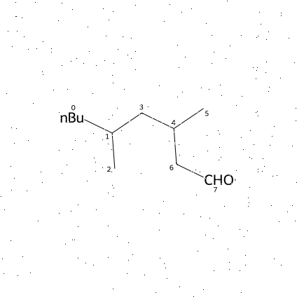 CCCCC(C)CC(C)C[C]=O